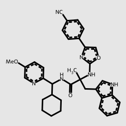 COc1ccc(C(NC(=O)C(C)(Cc2c[nH]c3ccccc23)Nc2nc(-c3ccc(C#N)cc3)co2)C2CCCCC2)nc1